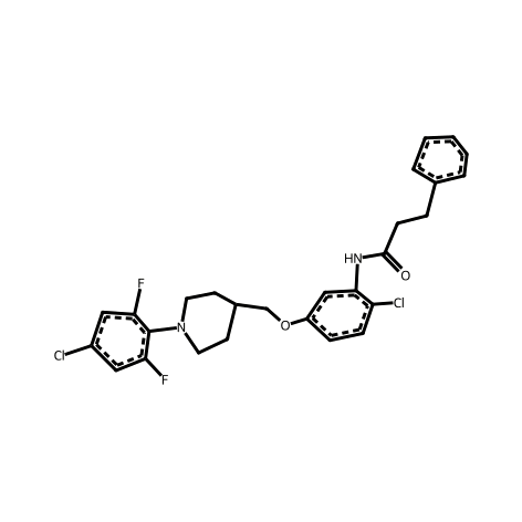 O=C(CCc1ccccc1)Nc1cc(OCC2CCN(c3c(F)cc(Cl)cc3F)CC2)ccc1Cl